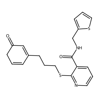 O=C1C=C(CCCSc2ncccc2C(=O)NCc2cccs2)C=CC1